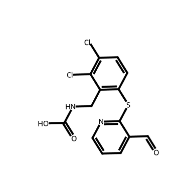 O=Cc1cccnc1Sc1ccc(Cl)c(Cl)c1CNC(=O)O